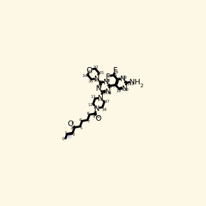 C/C=C/C(=O)CCCCC(=O)N1CCN(c2nc(-c3cnc(N)nc3C(F)F)nc(N3CCOCC3)n2)CC1